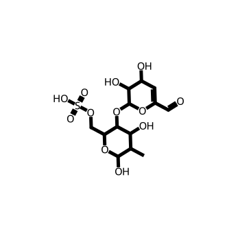 CC1C(O)OC(COS(=O)(=O)O)C(OC2OC(C=O)=CC(O)C2O)C1O